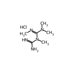 CN=C(N(C)C)N(C)C(=N)N.Cl